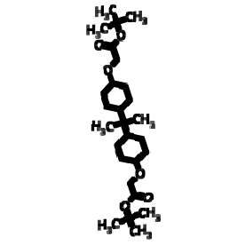 CC(C)(C)OC(=O)COC1CCC(C(C)(C)C2CCC(OCC(=O)OC(C)(C)C)CC2)CC1